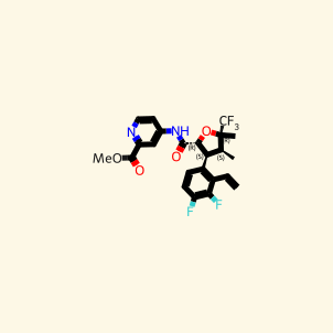 C=Cc1c([C@H]2[C@H](C(=O)Nc3ccnc(C(=O)OC)c3)O[C@@](C)(C(F)(F)F)[C@H]2C)ccc(F)c1F